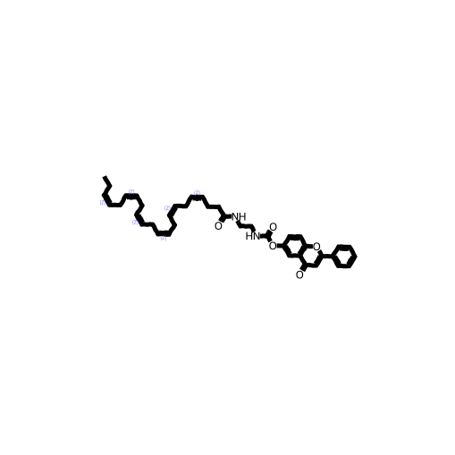 CC/C=C\C/C=C\C/C=C\C/C=C\C/C=C\C/C=C\CCC(=O)NCCNC(=O)Oc1ccc2oc(-c3ccccc3)cc(=O)c2c1